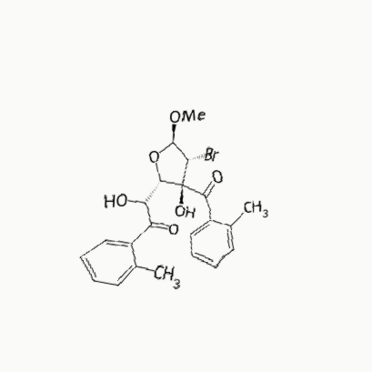 CO[C@@H]1O[C@@H](C(O)C(=O)c2ccccc2C)[C@@](O)(C(=O)c2ccccc2C)[C@H]1Br